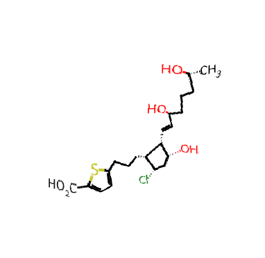 C[C@@H](O)CCC[C@H](O)C=C[C@H]1[C@@H](CCCc2ccc(C(=O)O)s2)[C@@H](Cl)C[C@H]1O